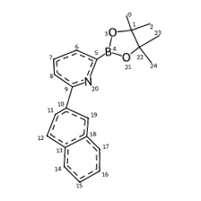 CC1(C)OB(c2cccc(-c3ccc4ccccc4c3)n2)OC1(C)C